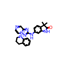 CC1(C)C(=O)Nc2cc(NC3=N[N+]4(N5CCCc6ccccc65)C=CN=CC4=N3)ccc21